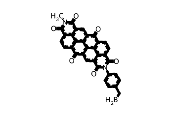 BCc1ccc(-n2c(=O)c3ccc4c(=O)c5cc6c(=O)n(C)c(=O)c7ccc8c(=O)c9cc(c2=O)c3c4c9c5c8c76)cc1